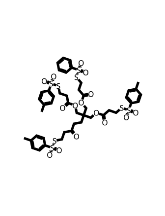 Cc1ccc(S(=O)(=O)SCCC(=O)CCC(COC(=O)CCSS(=O)(=O)c2ccccc2)(COC(=O)CCSS(=O)(=O)c2ccc(C)cc2)COC(=O)CCSS(=O)(=O)c2ccc(C)cc2)cc1